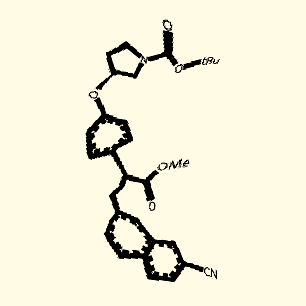 COC(=O)C(Cc1ccc2ccc(C#N)cc2c1)c1ccc(O[C@H]2CCN(C(=O)OC(C)(C)C)C2)cc1